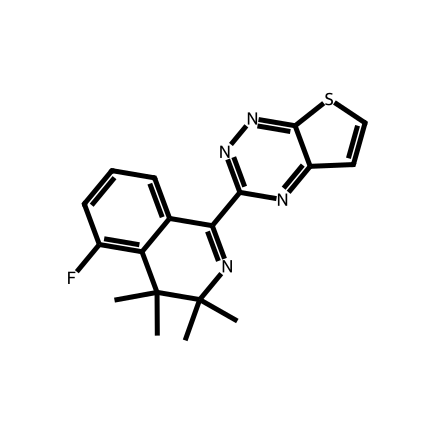 CC1(C)N=C(c2nnc3sccc3n2)c2cccc(F)c2C1(C)C